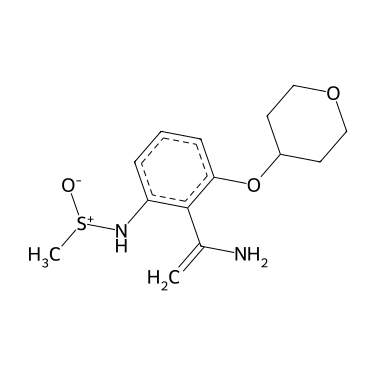 C=C(N)c1c(N[S+](C)[O-])cccc1OC1CCOCC1